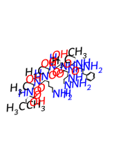 CC(C)C[C@H](NC(=O)[C@@H](NC(=O)[C@H](CCCCN)NC(=O)[C@@H](NC(=O)[C@H](CC(=O)O)NC(=O)[C@H](CCCNC(=N)N)NC(=O)[C@H](CC(C)C)NC(=O)[C@@H](N)Cc1ccccc1)[C@@H](C)O)[C@@H](C)O)C(=O)O